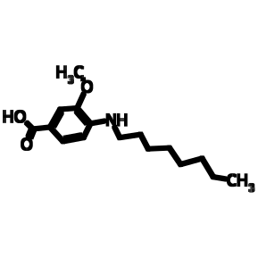 CCCCCCCCNc1ccc(C(=O)O)cc1OC